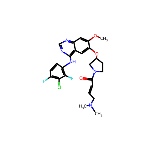 COc1cc2ncnc(Nc3ccc(F)c(Cl)c3F)c2cc1O[C@H]1CCN(C(=O)/C=C/CN(C)C)C1